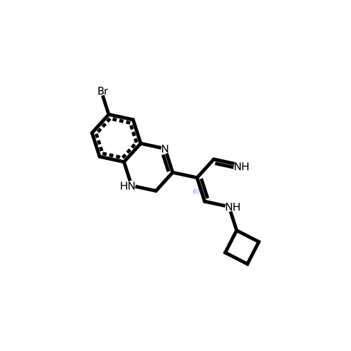 N=C/C(=C\NC1CCC1)C1=Nc2cc(Br)ccc2NC1